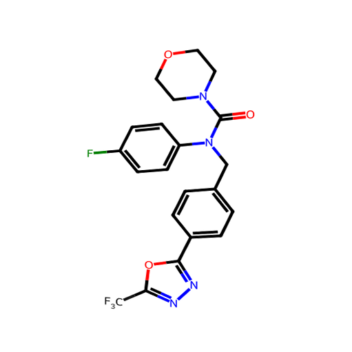 O=C(N1CCOCC1)N(Cc1ccc(-c2nnc(C(F)(F)F)o2)cc1)c1ccc(F)cc1